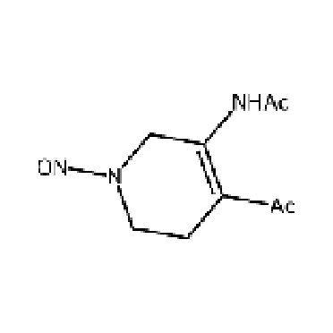 CC(=O)NC1=C(C(C)=O)CCN(N=O)C1